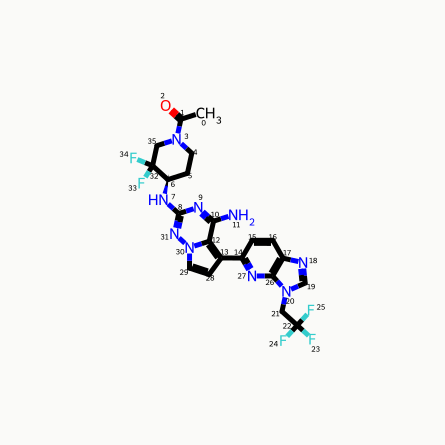 CC(=O)N1CC[C@@H](Nc2nc(N)c3c(-c4ccc5ncn(CC(F)(F)F)c5n4)ccn3n2)C(F)(F)C1